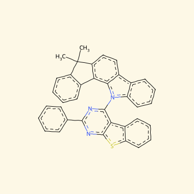 CC1(C)c2ccccc2-c2c1ccc1c3ccccc3n(-c3nc(-c4ccccc4)nc4sc5ccccc5c34)c21